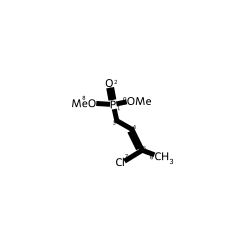 COP(=O)(C/C=C(/C)Cl)OC